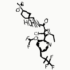 CCn1nc(C(=O)NCC2(O)CCC(S(C)(=O)=O)CC2)c(Cl)c1-c1ncc(CC(C)(C)C(F)(F)F)cc1OC(F)F